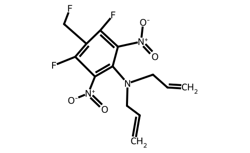 C=CCN(CC=C)c1c([N+](=O)[O-])c(F)c(CF)c(F)c1[N+](=O)[O-]